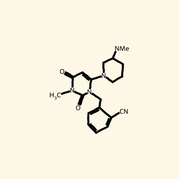 CNC1CCCN(c2cc(=O)n(C)c(=O)n2Cc2ccccc2C#N)C1